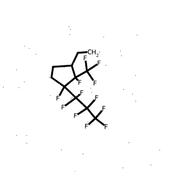 [CH2]CC1C[CH]C(F)(C(F)(F)C(F)(F)C(F)(F)F)C1(F)C(F)(F)F